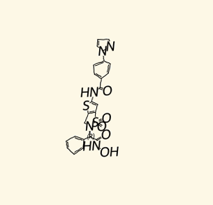 O=C(Nc1cc2c(s1)CN([C@@H](C(=O)NO)c1ccccc1)S2(=O)=O)c1ccc(-n2cccn2)cc1